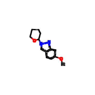 CCOc1ccc2cn(C3CCCCO3)nc2c1